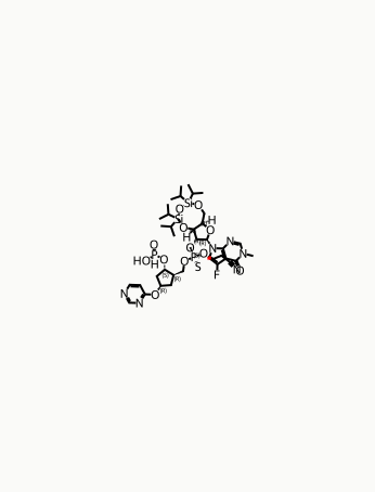 CC(C)[Si]1(C(C)C)OC[C@H]2O[C@@H](n3cc(F)c4c(=O)n(C)cnc43)[C@H](O[P@](=S)(OCCC#N)OC[C@H]3C[C@@H](Oc4ccncn4)C[C@@H]3O[PH](=O)O)[C@@H]2O[Si](C(C)C)(C(C)C)O1